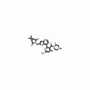 Cc1cc(C#N)nc(-c2ccnc3cc(CN4C(=O)C5C(C4=O)C5(C)C)sc23)c1C(=O)N1CCN(C)C[C@@H]1C